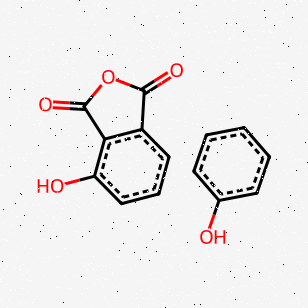 O=C1OC(=O)c2c(O)cccc21.Oc1ccccc1